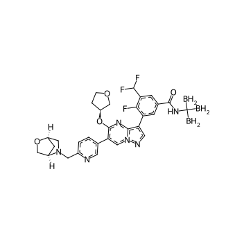 BC(B)(B)NC(=O)c1cc(-c2cnn3cc(-c4ccc(CN5C[C@H]6C[C@@H]5CO6)nc4)c(O[C@H]4CCOC4)nc23)c(F)c(C(F)F)c1